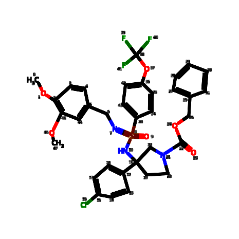 COc1ccc(CN=S(=O)(NC2(c3ccc(Cl)cc3)CCN(C(=O)OCc3ccccc3)C2)c2ccc(OC(F)(F)F)cc2)cc1OC